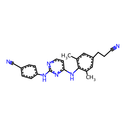 Cc1cc(CCC#N)cc(C)c1Nc1ccnc(Nc2ccc(C#N)cc2)n1